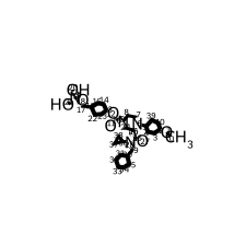 COc1ccc(N2CCN(C(=O)Oc3ccc(CON(O)O)cc3)C[C@@H]2C(=O)N(Cc2ccccc2)C2CC2)cc1